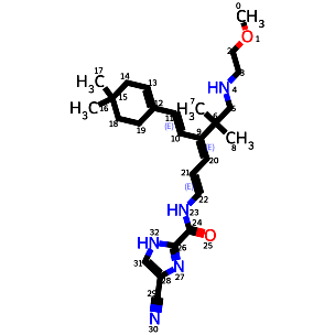 COCCNCC(C)(C)C(/C=C/C1=CCC(C)(C)CC1)=C/C=C/NC(=O)c1nc(C#N)c[nH]1